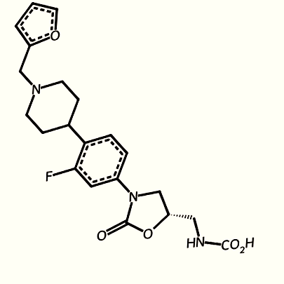 O=C(O)NC[C@H]1CN(c2ccc(C3CCN(Cc4ccco4)CC3)c(F)c2)C(=O)O1